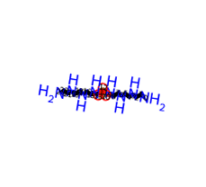 NCCNCCNCCNOS(=O)ONCCNCCNCCN